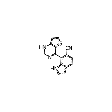 N#Cc1ccc2cc[nH]c2c1C1=NCNc2ccsc21